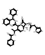 CC(OC(=O)c1ccccc1)C1=CS[C@@H]2[C@H](NC(=O)Cc3cccs3)C(=O)N2C1C(=O)OC(c1ccccc1)c1ccccc1